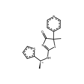 C[C@H](NC1=NC(=O)C(C)(c2ccncc2)S1)c1cccs1